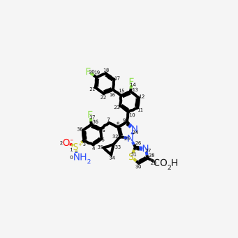 N[S+]([O-])c1ccc(Cc2c(-c3ccc(F)c(-c4ccc(F)cc4)c3)nn(-c3nc(C(=O)O)cs3)c2C2CC2)c(F)c1